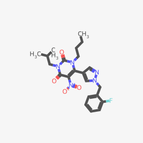 CCCCn1c(-c2cnn(Cc3ccccc3F)c2)c([N+](=O)[O-])c(=O)n(CC(C)C)c1=O